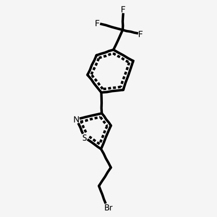 FC(F)(F)c1ccc(-c2cc(CCBr)sn2)cc1